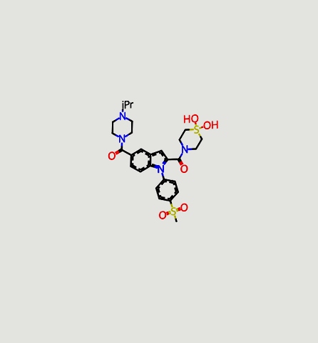 CC(C)N1CCN(C(=O)c2ccc3c(c2)cc(C(=O)N2CCS(O)(O)CC2)n3-c2ccc(S(C)(=O)=O)cc2)CC1